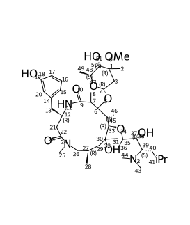 CO[C@]1(C)C[C@H](OC2C(C)C(=O)N[C@H](Cc3cccc(O)c3)CC(=O)N(C)C[C@H](C)CC(C)(O)[C@H](OC(C)[C@H](O)[C@H](CC(C)C)N(C)C)[C@H]2C)O[C@@H](C)[C@@H]1O